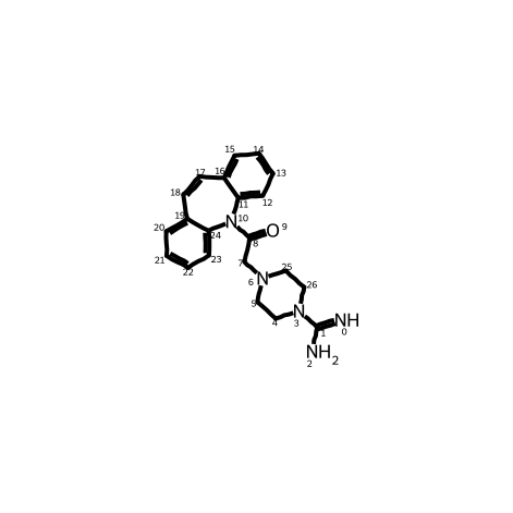 N=C(N)N1CCN(CC(=O)N2c3ccccc3C=Cc3ccccc32)CC1